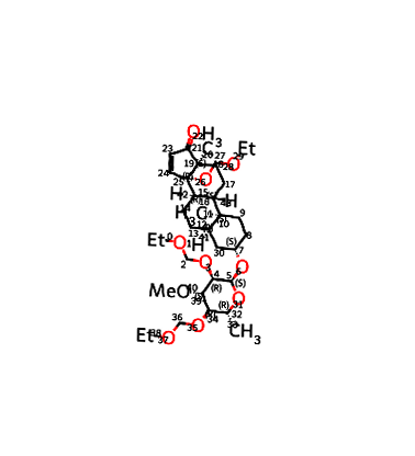 CCOCO[C@H]1[C@@H](O[C@H]2CC[C@@]3(C)[C@H](CC[C@@H]4[C@@H]3CC[C@]3(C)C(=O)C=C[C@]43OCOCC)C2)O[C@H](C)[C@@H](OCOCC)[C@@H]1OC